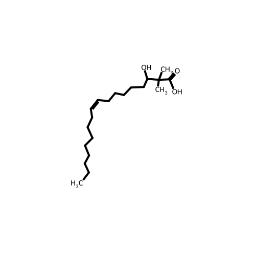 CCCCCCCC/C=C\CCCCCC(O)C(C)(C)C(=O)O